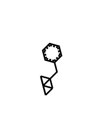 c1ccc(CC23C4C5C2C543)cc1